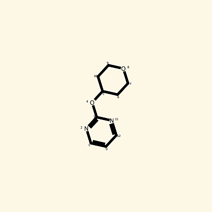 c1cnc(OC2CCOCC2)nc1